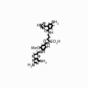 COc1cc(C(=O)N[C@@H](CCCNC(=O)c2ccc(N)cc2-c2nn[nH]n2)C(=O)O)ccc1NCc1cnc2nc(N)nc(N)c2n1